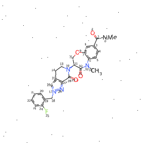 CNC(=O)c1ccc2c(c1)OC[C@H](N1CCc3cn(Cc4ccccc4F)nc3C1=O)C(=O)N2C